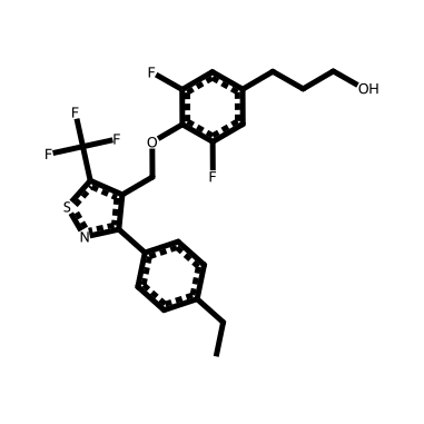 CCc1ccc(-c2nsc(C(F)(F)F)c2COc2c(F)cc(CCCO)cc2F)cc1